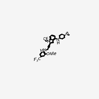 COc1cc(C(F)(F)F)ccc1NCC#Cc1cc2c(N[C@H]3CC[C@@H](N(C)C)CC3)cccc2n1CC(F)(F)F